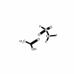 CC(=O)O.O=[S](=O)(F)[Cu]([F])[F]